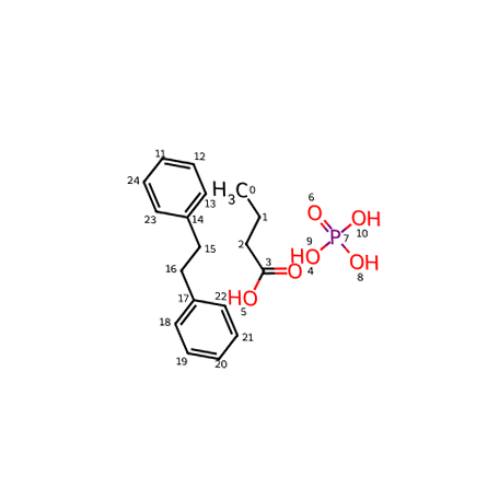 CCCC(=O)O.O=P(O)(O)O.c1ccc(CCc2ccccc2)cc1